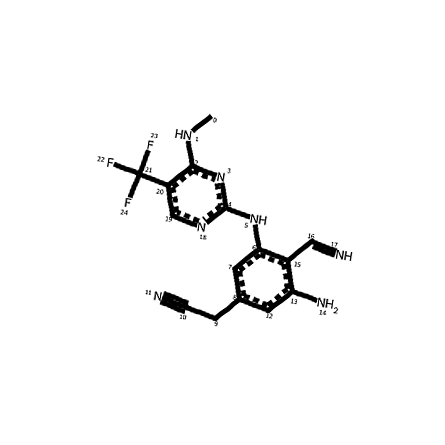 CNc1nc(Nc2cc(CC#N)cc(N)c2C=N)ncc1C(F)(F)F